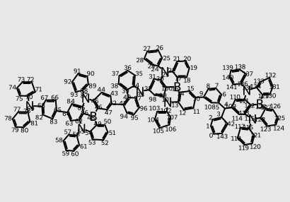 c1ccc(C(c2cccc(-c3ccc4c(c3)B3c5ccccc5N(c5ccccc5)c5cc(-n6c7ccccc7c7c(-c8ccc9c(c8)B8c%10ccccc%10N(c%10ccccc%10)c%10cc(-c%11ccc(N(c%12ccccc%12)c%12ccccc%12)cc%11)cc(c%108)N9c8ccccc8)cccc76)cc(c53)N4c3ccccc3)c2)c2cc3c4c(c2)N(c2ccccc2)c2ccccc2B4c2ccccc2N3c2ccccc2)cc1